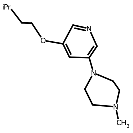 CC(C)CCOc1cncc(N2CCN(C)CC2)c1